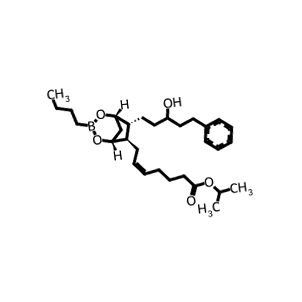 CCCCB1O[C@H]2C[C@@H](O1)[C@H](C/C=C\CCCC(=O)OC(C)C)[C@H]2CCC(O)CCc1ccccc1